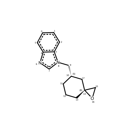 c1ccc2c(c1)ncn2C[C@H]1CCC[C@]2(CO2)C1